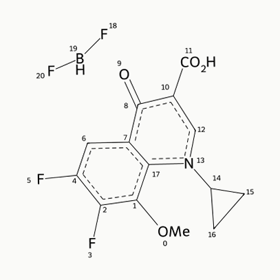 COc1c(F)c(F)cc2c(=O)c(C(=O)O)cn(C3CC3)c12.FBF